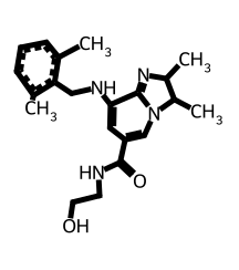 Cc1cccc(C)c1CNC1=CC(C(=O)NCCO)=CN2C1=NC(C)C2C